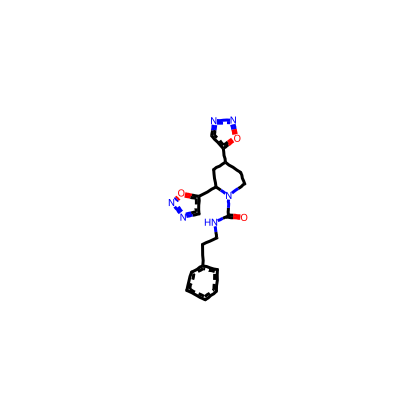 O=C(NCCc1ccccc1)N1CCC(c2cnno2)CC1c1cnno1